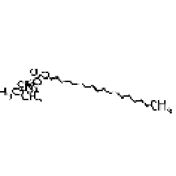 CCCCCCCCCCCCCCCCCCOC(=O)OOOC(C)(C)C